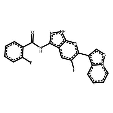 O=C(Nc1n[nH]c2nc(-c3cnn4ccccc34)c(F)cc12)c1ccccc1F